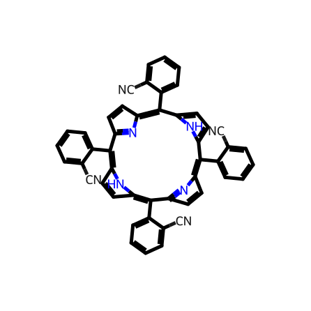 N#Cc1ccccc1-c1c2nc(c(-c3ccccc3C#N)c3ccc([nH]3)c(-c3ccccc3C#N)c3nc(c(-c4ccccc4C#N)c4ccc1[nH]4)C=C3)C=C2